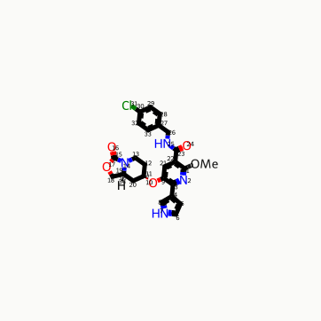 COc1nc(-c2cc[nH]c2)c(O[C@H]2CCN3C(=O)OC[C@@H]3C2)cc1C(=O)NCc1ccc(Cl)cc1